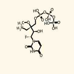 CO[C@](CN)(COP(=O)(O)OP(=O)(O)OP(=O)(O)O)[C@@H](O)[C@@H](F)n1ccc(=O)[nH]c1=O